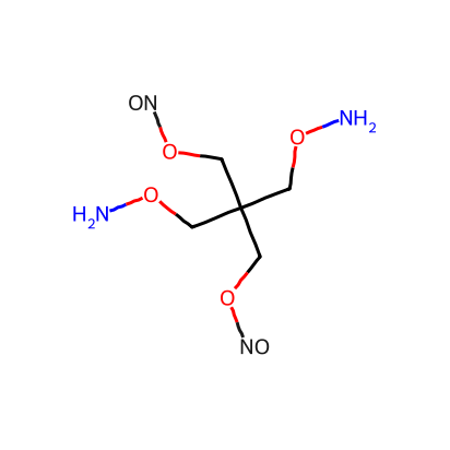 NOCC(CON)(CON=O)CON=O